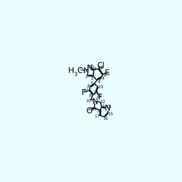 Cn1cc2c(-c3cc(F)c(CN4Cc5ncccc5C4=O)c(F)c3)cc(F)c(Cl)c2n1